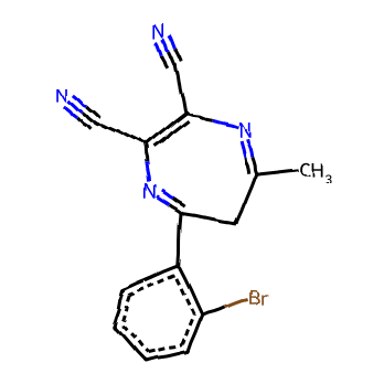 CC1=NC(C#N)=C(C#N)N=C(c2ccccc2Br)C1